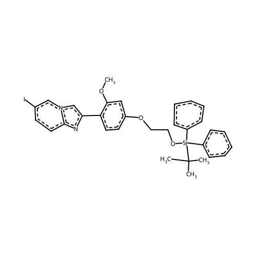 COc1cc(OCCO[Si](c2ccccc2)(c2ccccc2)C(C)(C)C)ccc1-c1cn2cc(I)ccc2n1